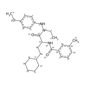 CCN(Nc1ccc(OC)cc1)C(=O)C(CCC1CCCCC1)NC(=O)c1cccc(C)c1